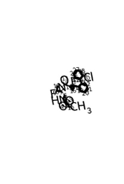 CCS(=O)(=O)NC[C@@H]1[C@H](F)CN1C(=O)[C@@H]1C[C@@]1(F)c1ccccc1-c1ccccc1Cl